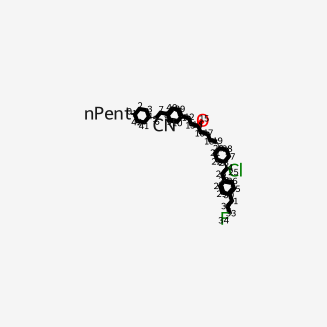 CCCCC[C@H]1CC[C@H](C(C#N)Cc2ccc(CCC(=O)CCCC[C@H]3CC[C@H](C(Cl)Cc4ccc(CCCF)cc4)CC3)cc2)CC1